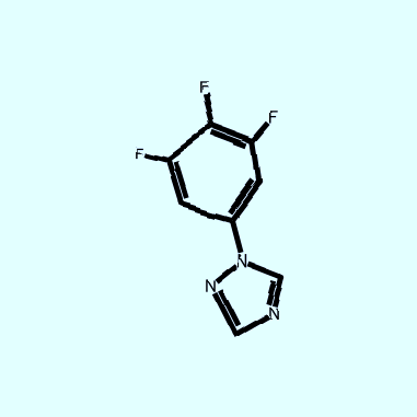 Fc1cc(-n2cncn2)cc(F)c1F